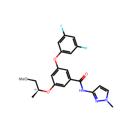 COC[C@H](C)Oc1cc(Oc2cc(F)cc(F)c2)cc(C(=O)Nc2ccn(C)n2)c1